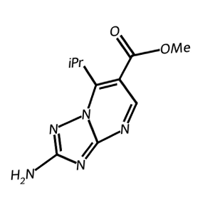 COC(=O)c1cnc2nc(N)nn2c1C(C)C